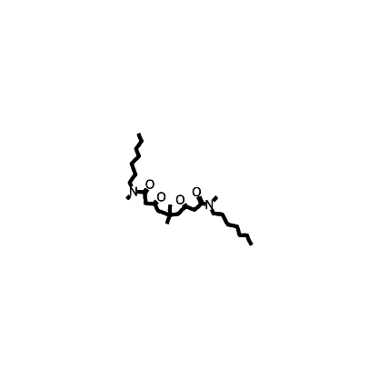 CCCCCCCN(C)C(=O)CC(=O)CC(C)(C)CC(=O)CC(=O)N(C)CCCCCCC